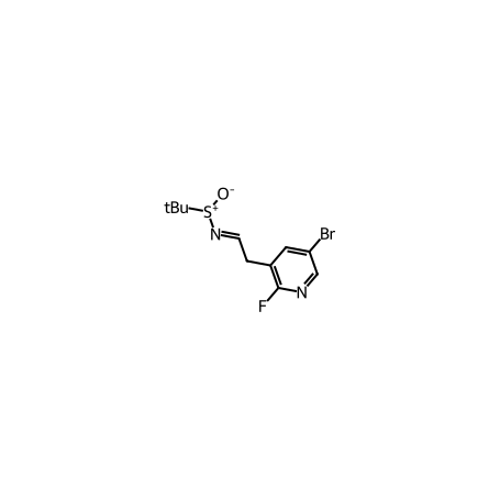 CC(C)(C)[S+]([O-])/N=C/Cc1cc(Br)cnc1F